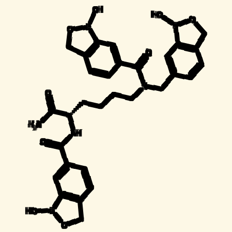 NC(=O)[C@H](CCCCN(Cc1ccc2c(c1)B(O)OC2)C(=O)c1ccc2c(c1)B(O)OC2)NC(=O)c1ccc2c(c1)B(O)OC2